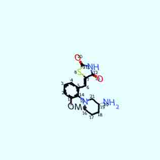 COc1cccc(/C=C2\SC(=O)NC2=O)c1N1CCC[C@@H](N)C1